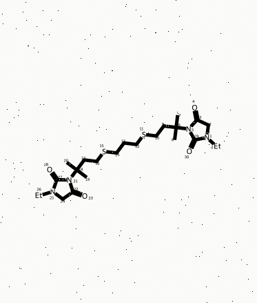 CCN1CC(=O)N(C(C)(C)CCSCCCSCCC(C)(C)N2C(=O)CN(CC)C2=O)C1=O